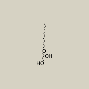 CCCCCCCCCCCOCC(O)CCO